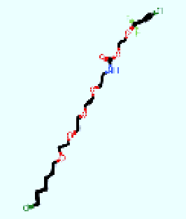 O=C(NCCOCCOCCOCCOCCCCCCCl)OCCOC(F)(F)C#CCl